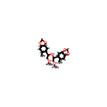 CCCCOCC(OC(COCCCC)c1cc2c(cc1CCC)OCO2)c1cc2c(cc1CCC)OCO2